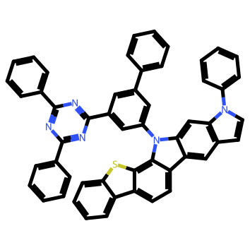 c1ccc(-c2cc(-c3nc(-c4ccccc4)nc(-c4ccccc4)n3)cc(-n3c4cc5c(ccn5-c5ccccc5)cc4c4ccc5c6ccccc6sc5c43)c2)cc1